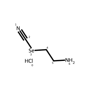 Cl.N#C[Se]CCN